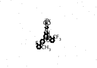 Cc1cccc(F)c1N1CCC(N2Cc3cn(C4CN(C(=O)OC(C)C)C4)nc3N(Cc3ccccc3C(F)(F)F)C2=O)CC1